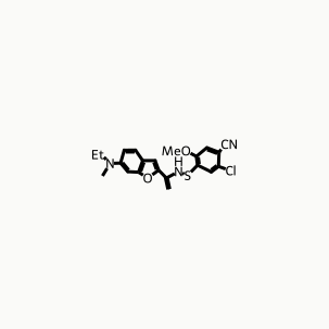 C=C(NSc1cc(Cl)c(C#N)cc1OC)c1cc2ccc(N(C)CC)cc2o1